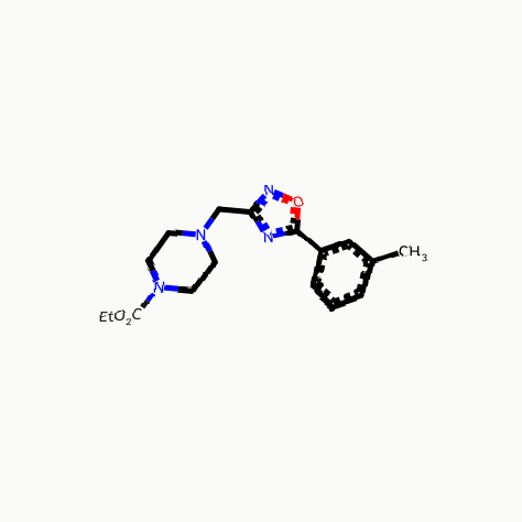 CCOC(=O)N1CCN(Cc2noc(-c3cccc(C)c3)n2)CC1